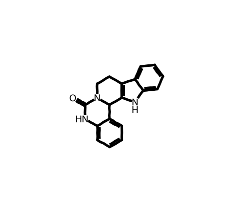 O=C1Nc2ccccc2C2c3[nH]c4ccccc4c3CCN12